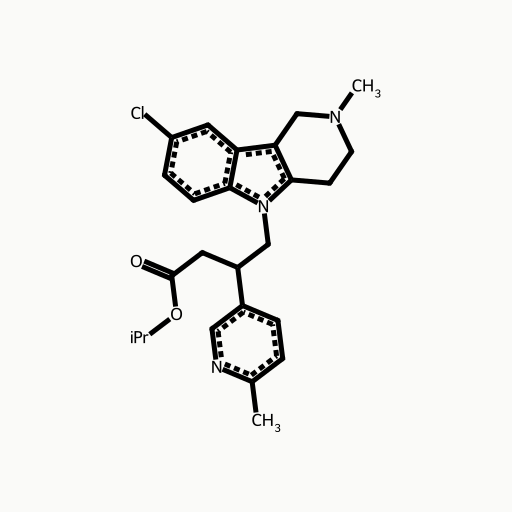 Cc1ccc(C(CC(=O)OC(C)C)Cn2c3c(c4cc(Cl)ccc42)CN(C)CC3)cn1